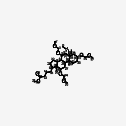 CC[C@H]1[C@@H](OCOC)C2C3CC[C@H](CCCC(=O)OC)[C@@]3(C)[C@@H](OCOC)CC2[C@@]2(C)CC[C@@H](OCOC)C[C@@H]12